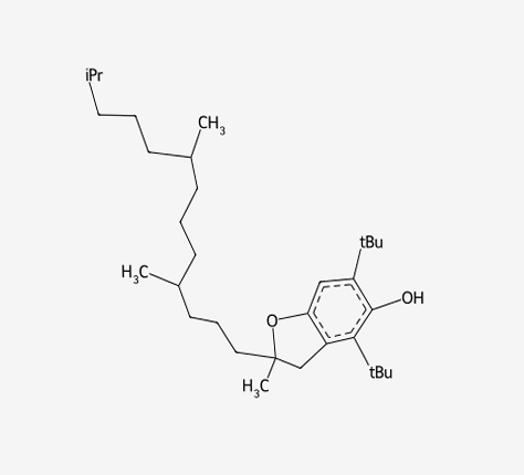 CC(C)CCCC(C)CCCC(C)CCCC1(C)Cc2c(cc(C(C)(C)C)c(O)c2C(C)(C)C)O1